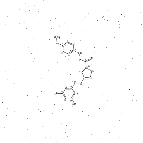 O=C(COc1ccc(CO)cc1)N1CCC(CCc2cc(F)cc(F)c2)C1